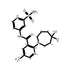 NS(=O)(=O)c1cc(NC(=O)c2cc(C(F)(F)F)cnc2N2CCCC(Cl)(Cl)CC2)ccn1